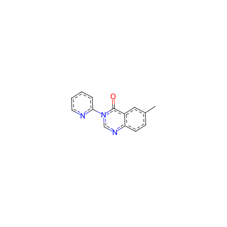 Cc1ccc2ncn(-c3ccccn3)c(=O)c2c1